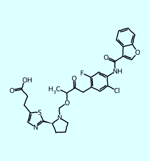 CC(OCN1CCC[C@H]1c1ncc(CCC(=O)O)s1)C(=O)Cc1cc(Cl)c(NC(=O)c2coc3ccccc23)cc1F